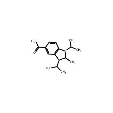 CC(=O)c1ccc2c(c1)N(C(C)C)C(C)N2C(C)C